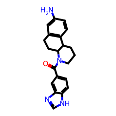 Nc1ccc2c(c1)CCC1C2CCCN1C(=O)c1ccc2[nH]cnc2c1